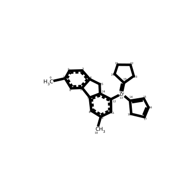 Cc1ccc2c(c1)-c1cc(C)c[c]([Zr]([C]3=CC=CC3)=[C]3CCCC3)c1C2